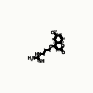 N=C(N)NCCCOc1cc(=O)oc2ccc(Cl)cc12